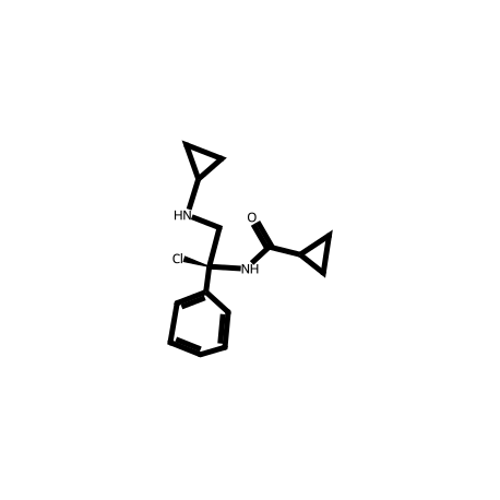 O=C(N[C@@](Cl)(CNC1CC1)c1ccccc1)C1CC1